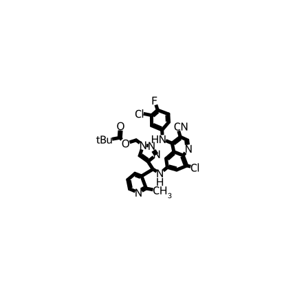 Cc1ncccc1C(Nc1cc(Cl)c2ncc(C#N)c(Nc3ccc(F)c(Cl)c3)c2c1)c1cn(COC(=O)C(C)(C)C)nn1